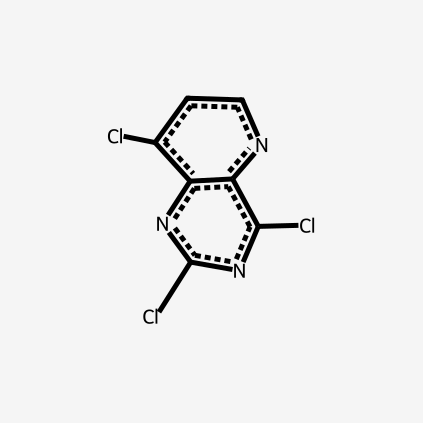 Clc1nc(Cl)c2nccc(Cl)c2n1